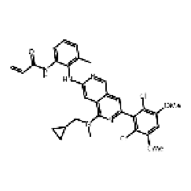 C=CC(=O)Nc1cccc(C)c1Nc1cc2c(N(C)CC3CC3)nc(-c3c(Cl)c(OC)cc(OC)c3Cl)cc2cn1